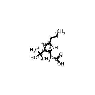 CCCc1nc(C(C)(C)O)c(OC(=O)O)[nH]1